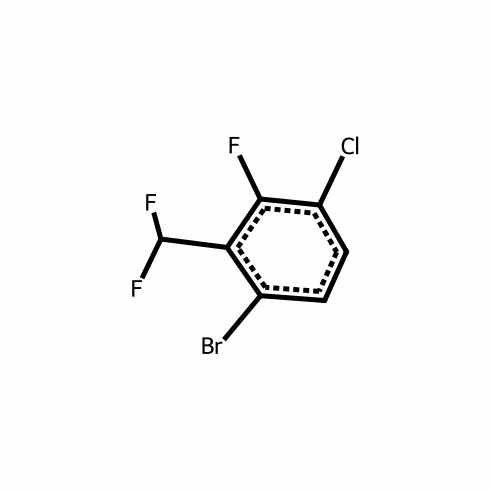 Fc1c(Cl)ccc(Br)c1C(F)F